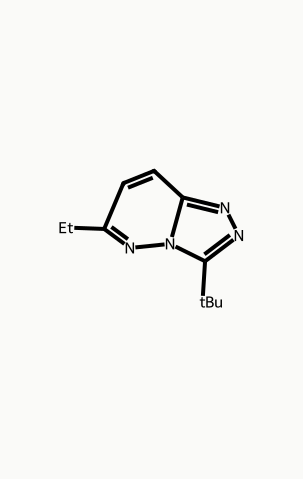 CCc1ccc2nnc(C(C)(C)C)n2n1